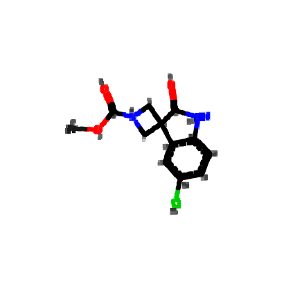 CC(C)OC(=O)N1CC2(C1)C(=O)Nc1ccc(Cl)cc12